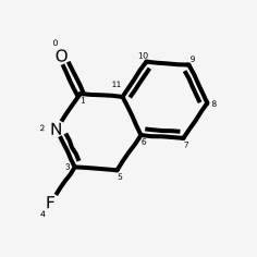 O=C1N=C(F)Cc2ccccc21